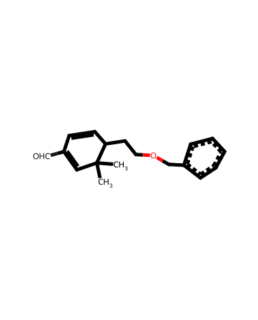 CC1(C)C=C(C=O)C=CC1CCOCc1ccccc1